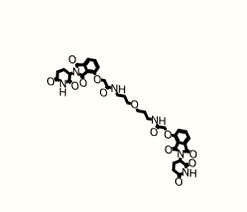 O=C(COc1cccc2c1C(=O)N(C1CCC(=O)NC1=O)C2=O)NCCCOCCCNC(=O)COc1cccc2c1C(=O)N(C1CCC(=O)NC1=O)C2=O